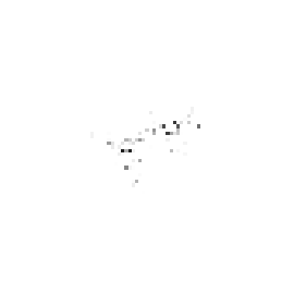 CCCC1COc2c(C(=O)O)sc(C(=O)O)c2O1.CCCC1COc2c(C(=O)O)sc(C(=O)O)c2O1